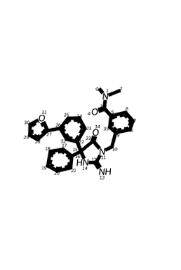 CN(C)C(=O)c1cccc(CN2C(=N)NC(c3ccccc3)(c3cccc(-c4ccco4)c3)C2=O)c1